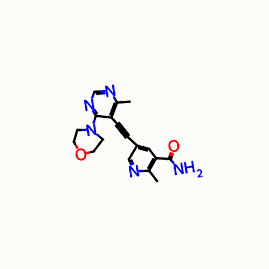 Cc1ncc(C#Cc2c(C)ncnc2N2CCOCC2)cc1C(N)=O